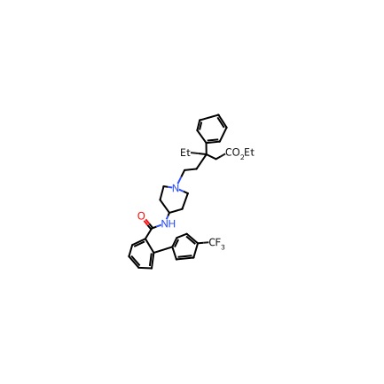 CCOC(=O)CC(CC)(CCN1CCC(NC(=O)c2ccccc2-c2ccc(C(F)(F)F)cc2)CC1)c1ccccc1